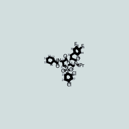 CC(C)N1CC2N(C(=O)C(NC(=O)C3CCCCC3)CN2S(=O)(=O)c2ccc(Cl)cc2Cl)C(Cc2ccc(F)c(F)c2)C1=O